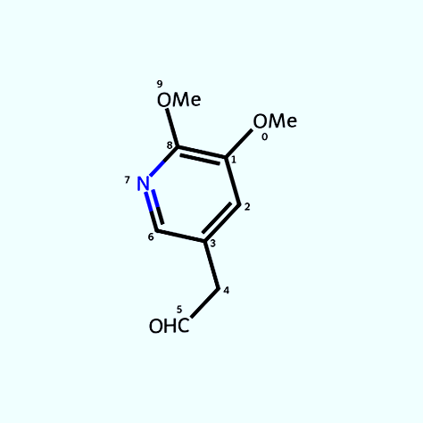 COc1cc(CC=O)cnc1OC